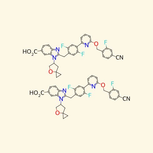 N#Cc1ccc(COc2cccc(-c3cc(F)c(Cc4nc5ccc(C(=O)O)cc5n4C4COC5(CC5)C4)cc3F)n2)c(F)c1.N#Cc1ccc(COc2cccc(-c3cc(F)c(Cc4nc5ccc(C(=O)O)cc5n4C4COC5(CC5)C4)cc3F)n2)c(F)c1